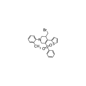 Cc1ccccc1N1CC(S(=O)(=O)c2ccccc2)=C(c2cccs2)C(CBr)C1